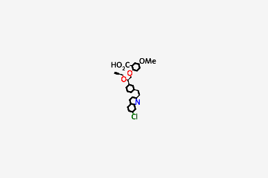 C#CCO[C@@H](COc1ccc(OC)cc1C(=O)O)c1cccc(/C=C\c2ccc3ccc(Cl)cc3n2)c1